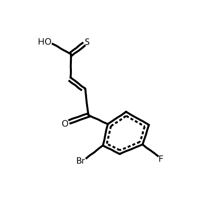 O=C(/C=C/C(O)=S)c1ccc(F)cc1Br